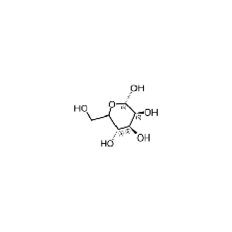 OCC1O[C@H](O)[C@@H](O)[C@@H](O)[C@@H]1O